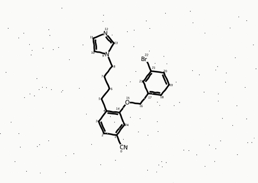 N#Cc1ccc(CCCCn2ccnc2)c(OCc2cccc(Br)c2)c1